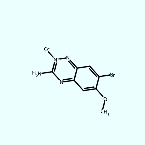 COc1cc2nc(N)[n+]([O-])nc2cc1Br